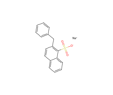 O=S(=O)([O-])c1c(Cc2ccccc2)ccc2ccccc12.[Na+]